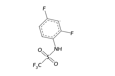 O=S(=O)(Nc1ccc(F)[c]c1F)C(F)(F)F